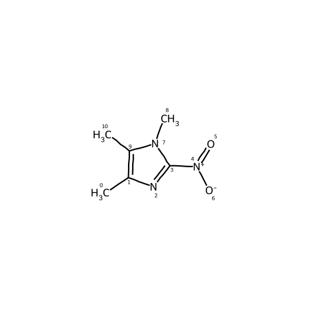 Cc1nc([N+](=O)[O-])n(C)c1C